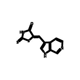 O=C1NC(=S)S/C1=C\c1c[nH]c2cnccc12